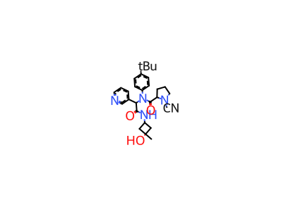 CC1(O)CC(NC(=O)C(c2cccnc2)N(C(=O)C2CCCN2C#N)c2ccc(C(C)(C)C)cc2)C1